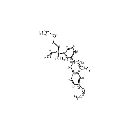 COCCC(C)(C=O)c1ccnc(N(Cc2ccc(OC)cc2)SC)n1